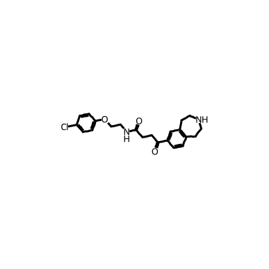 O=C(CCC(=O)c1ccc2c(c1)CCNCC2)NCCOc1ccc(Cl)cc1